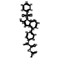 C=C(C)OC(=O)N(C)c1ccc(-c2ccnc3c2cc(C)n3S(=O)(=O)c2ccccc2)cc1